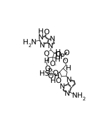 CO[C@H]1[C@H]2O[PH](=O)OC[C@H]3C[C@@H](n4ccc5c(N)ncnc54)[C@H](O)[C@@H]3OP(=O)(S)OC[C@H]1O[C@H]2n1cnc2c(=O)[nH]c(N)nc21